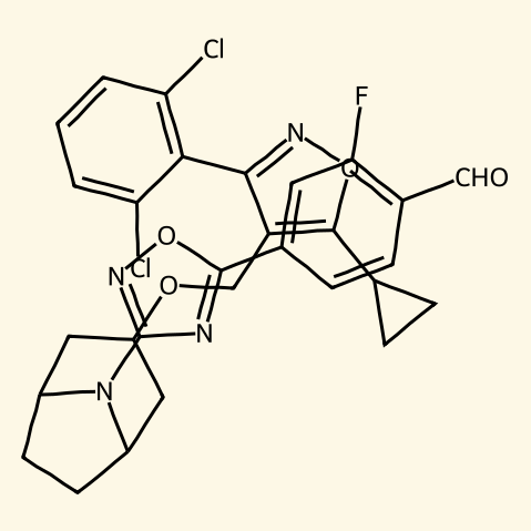 O=Cc1ccc(-c2nc(N3C4CCC3CC(OCc3c(-c5c(Cl)cccc5Cl)noc3C3CC3)C4)no2)cc1F